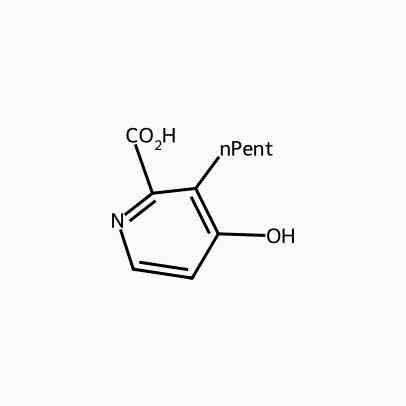 CCCCCc1c(O)ccnc1C(=O)O